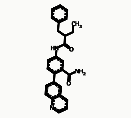 CCC(Cc1ccccc1)C(=O)Nc1ccc(-c2ccc3ncccc3c2)c(C(N)=O)c1